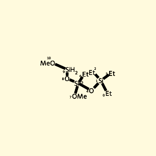 CC[Si](CC)(CC)O[Si](CC)(OC)O[SiH2]OC